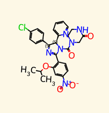 CC(C)Oc1cc([N+](=O)[O-])ccc1C1=N[C@@H](c2ccc(Cl)cc2)[C@@H](c2ccccn2)N1C(=O)N1CCNC(=O)C1